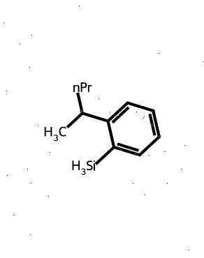 CCCC(C)c1ccccc1[SiH3]